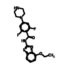 CCOc1cccc2sc(NC(=O)c3c(F)cc(N4CCNCC4)cc3F)nc12